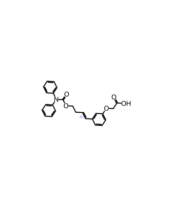 O=C(O)COc1cccc(/C=C/CCOC(=O)N(c2ccccc2)c2ccccc2)c1